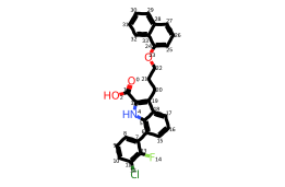 O=C(O)c1[nH]c2c(-c3cccc(Cl)c3F)cccc2c1CCCOc1cccc2ccccc12